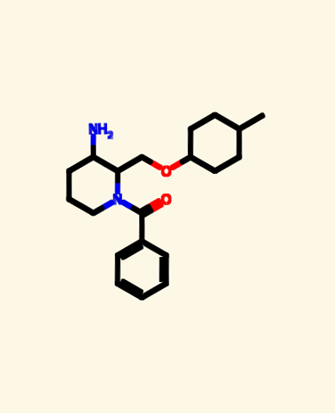 CC1CCC(OCC2C(N)CCCN2C(=O)c2ccccc2)CC1